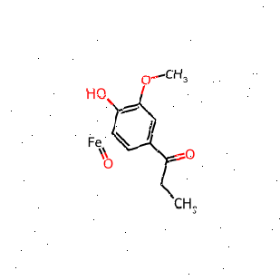 CCC(=O)c1ccc(O)c(OC)c1.[O]=[Fe]